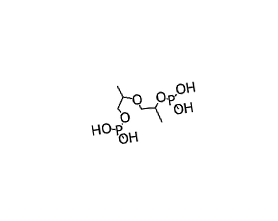 CC(COP(O)O)OCC(C)OP(O)O